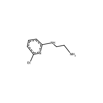 CCc1cccc(NCCN)n1